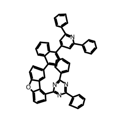 c1ccc(-c2cc(-c3ccc(-c4ccc5oc6cccc(-c7nc(-c8ccccc8)nc(-c8ccccc8)n7)c6c5c4)c4ccccc34)cc(-c3ccccc3)n2)cc1